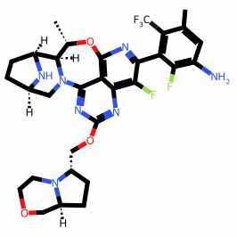 Cc1cc(N)c(F)c(-c2nc3c4c(nc(OC[C@@H]5CC[C@H]6COCCN65)nc4c2F)N2C[C@H]4CC[C@H](N4)[C@H]2[C@H](C)O3)c1C(F)(F)F